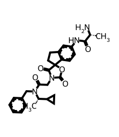 C[C@@H](N)C(=O)Nc1ccc2c(c1)CCC21OC(=O)N(CC(=O)N(Cc2ccccc2)[C@@H](C)C2CC2)C1=O